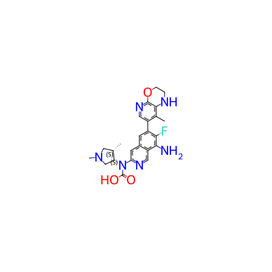 Cc1c(-c2cc3cc(N(C(=O)O)[C@@H]4CN(C)C[C@@H]4C)ncc3c(N)c2F)cnc2c1NCCO2